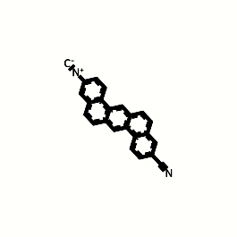 [C-]#[N+]c1ccc2c(ccc3cc4c(ccc5cc(C#N)ccc54)cc32)c1